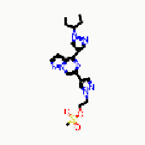 CCC(CC)n1cc(-c2nc(-c3cnn(CCOS(C)(=O)=O)c3)cn3nccc23)cn1